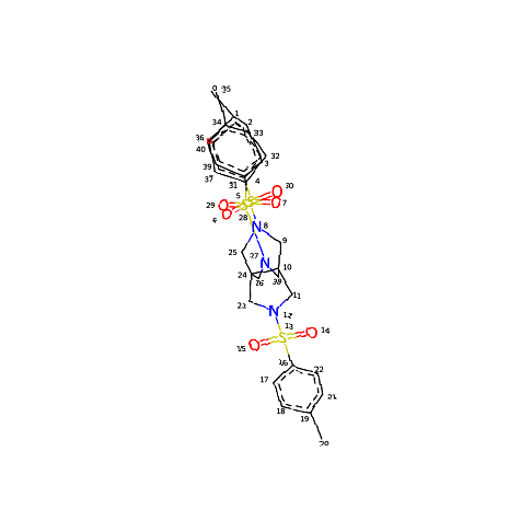 Cc1ccc(S(=O)(=O)N2CC34CN(S(=O)(=O)c5ccc(C)cc5)CC3(C2)CN(S(=O)(=O)c2ccc(C)cc2)C4)cc1